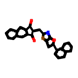 O=C1C(=Cc2nc3oc(-c4cccc5ccccc45)cc3s2)C(=O)c2cc3ccccc3cc21